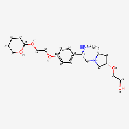 CN[C@H](CN1CC[C@H](OCCO)C1)c1ccc(OCCOC2CCCCO2)cc1